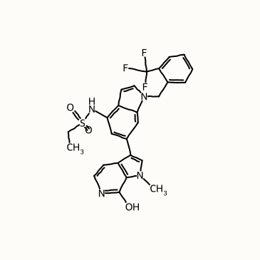 CCS(=O)(=O)Nc1cc(-c2cn(C)c3c(O)nccc23)cc2c1ccn2Cc1ccccc1C(F)(F)F